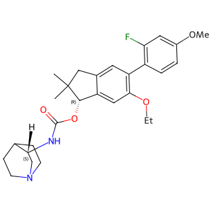 CCOc1cc2c(cc1-c1ccc(OC)cc1F)CC(C)(C)[C@H]2OC(=O)N[C@@H]1CN2CCC1CC2